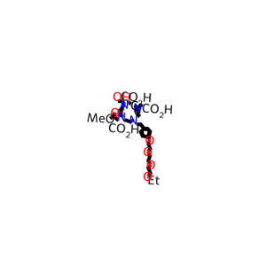 CCOCCOCCOCCOc1ccc(CC(C(=O)O)N2CCN(CC(=O)O)CCN(C(CO)C(=O)O)CCN(CC(=O)OC)CC2)cc1